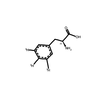 [3H]c1cc(C[C@H](N)C(=O)O)cc([3H])c1[3H]